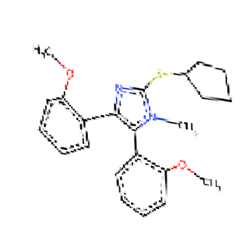 COc1ccccc1-c1nc(SC2CCCC2)n(C)c1-c1ccccc1OC